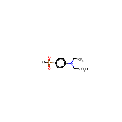 CCOC(=O)CN(CC(F)(F)F)c1ccc(S(=O)(=O)CC)cc1